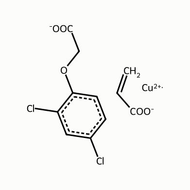 C=CC(=O)[O-].O=C([O-])COc1ccc(Cl)cc1Cl.[Cu+2]